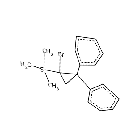 C[Si](C)(C)C1(Br)CC1(c1ccccc1)c1ccccc1